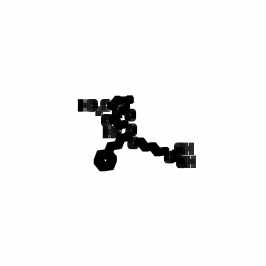 CC(NC(CCc1ccccc1)C(=O)OCCCCCON(O)O)C(=O)N1C(=O)N(C)CC1C(=O)O